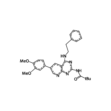 COc1ccc(-c2cnc3nc(NC(=O)C(C)(C)C)nc(NCCc4ccccc4)c3c2)cc1OC